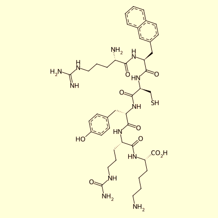 N=C(N)NCCC[C@H](N)C(=O)N[C@@H](Cc1ccc2ccccc2c1)C(=O)N[C@@H](CS)C(=O)N[C@@H](Cc1ccc(O)cc1)C(=O)N[C@@H](CCCNC(N)=O)C(=O)N[C@@H](CCCCN)C(=O)O